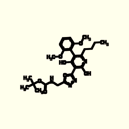 CCCCc1nc(O)c(-c2nnc(CNC(=O)OC(C)(C)C)o2)c(O)c1-c1c(OC)cccc1OC